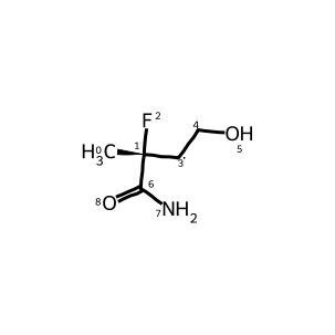 C[C@@](F)([CH]CO)C(N)=O